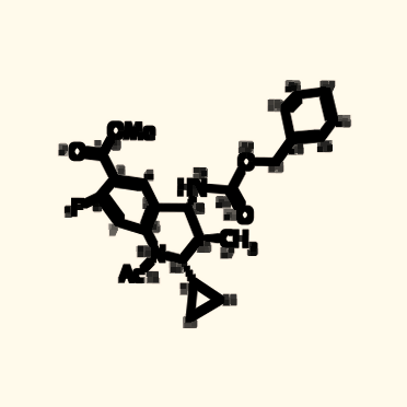 COC(=O)c1cc2c(cc1F)N(C(C)=O)[C@@H](C1CC1)[C@H](C)[C@H]2NC(=O)OCc1ccccc1